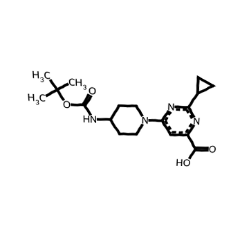 CC(C)(C)OC(=O)NC1CCN(c2cc(C(=O)O)nc(C3CC3)n2)CC1